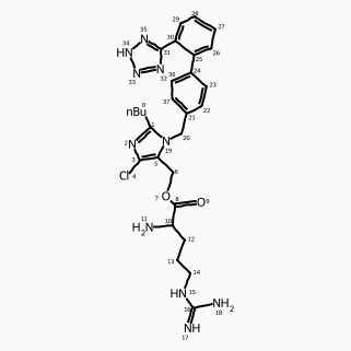 CCCCc1nc(Cl)c(COC(=O)C(N)CCCNC(=N)N)n1Cc1ccc(-c2ccccc2-c2nn[nH]n2)cc1